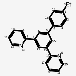 CCc1ccc(-c2cc(-c3ccccn3)cc(-c3ccccn3)c2)cc1